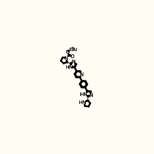 CC(C)(C)OC(=O)N1CCC[C@H]1c1ncc(-c2ccc(-c3ccc(-c4cnc([C@@H]5CCCN5)[nH]4)cc3)nc2)[nH]1